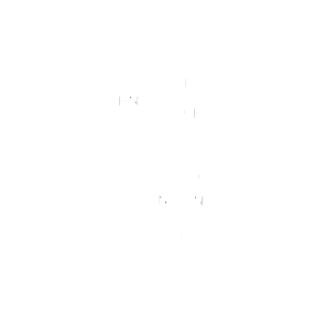 Cc1noc(-c2cc3c(cc2Cl)NCC3(C)C)n1